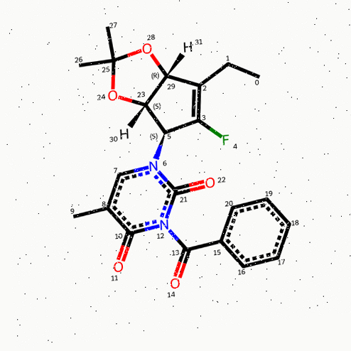 CCC1=C(F)[C@@H](n2cc(C)c(=O)n(C(=O)c3ccccc3)c2=O)[C@@H]2OC(C)(C)O[C@H]12